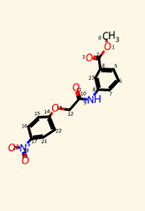 COC(=O)c1cccc(NC(=O)COc2ccc([N+](=O)[O-])cc2)c1